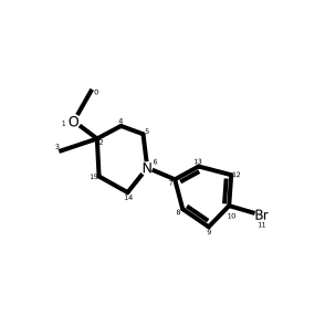 COC1(C)CCN(c2ccc(Br)cc2)CC1